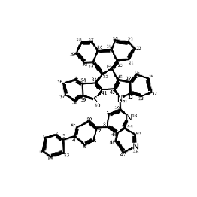 c1ccc(-c2ccc(-c3cc(-n4c5ccccc5c5c6c7ccccc7c7ccccc7c6c6c7ccccc7sc6c54)nc4cnccc34)cc2)cc1